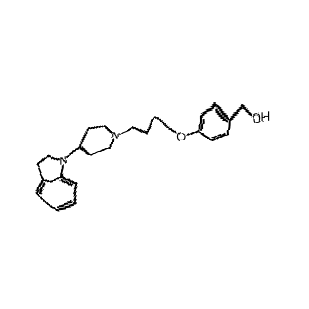 OCc1ccc(OCCCN2CCC(N3CCc4ccccc43)CC2)cc1